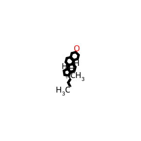 CCCC[C@H]1CC[C@H]2[C@@H]3CCC4=C(CCC(=O)C4)[C@H]3CC[C@]12C